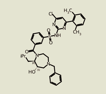 Cc1cccc(C)c1-c1cc(Cl)nc(NS(=O)(=O)c2cccc(C(=O)N3CCN(Cc4ccccc4)C[C@H](O)[C@H]3CC(C)C)c2)n1